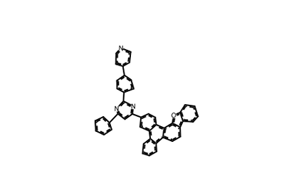 c1ccc(-c2cc(-c3ccc4c(c3)c3ccccc3c3ccc5c6ccccc6oc5c34)nc(-c3ccc(-c4ccncc4)cc3)n2)cc1